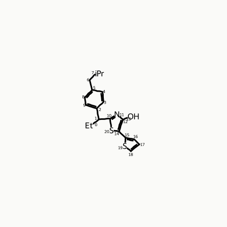 CCC(c1ccc(CC(C)C)cc1)c1nc(O)c(-c2cccs2)s1